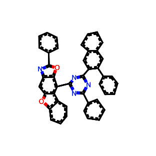 c1ccc(-c2nc(-c3cc4ccccc4cc3-c3ccccc3)nc(-c3c4oc(-c5ccccc5)nc4cc4oc5ccccc5c34)n2)cc1